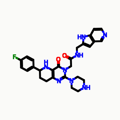 O=C(Cn1c(N2CCNCC2)nc2c(c1=O)NC(c1ccc(F)cc1)CC2)NCc1cc2cnccc2[nH]1